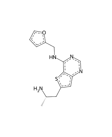 C[C@H](N)Cc1cc2ncnc(NCc3ccco3)c2s1